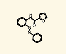 O=C(Nc1ccccc1N=Nc1ccccc1)c1ccco1